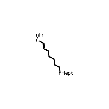 CCCCCCCCCCCC/C=C/OCCC